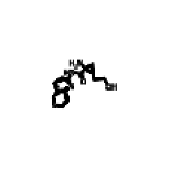 NC1(C(=O)Nc2ccc3cnccc3n2)CC1CCO